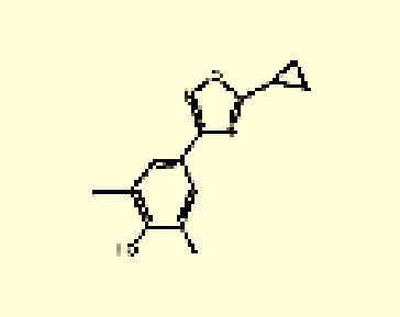 Cc1cc(-c2noc(C3CC3)n2)cc(C)c1O